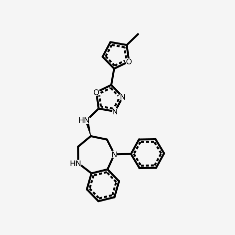 Cc1ccc(-c2nnc(N[C@@H]3CNc4ccccc4N(c4ccccc4)C3)o2)o1